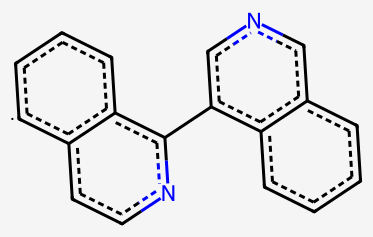 [c]1cccc2c(-c3cncc4ccccc34)nccc12